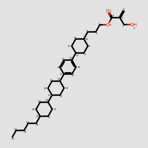 C=C(CO)C(=O)OCCCC1CCC(c2ccc(C3CCC(C4CCC(CCCCC)CC4)CC3)cc2)CC1